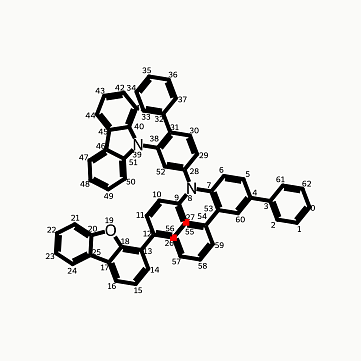 c1ccc(-c2ccc(N(c3ccc(-c4cccc5c4oc4ccccc45)cc3)c3ccc(-c4ccccc4)c(-n4c5ccccc5c5ccccc54)c3)c(-c3ccccc3)c2)cc1